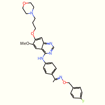 COc1cc2c(Nc3ccc(C(C)=NOCc4ccc(F)cc4)cc3)ncnc2cc1OCCCN1CCOCC1